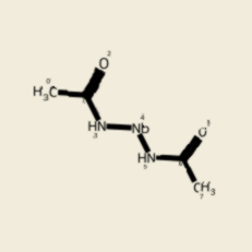 CC(=O)[NH][Nb][NH]C(C)=O